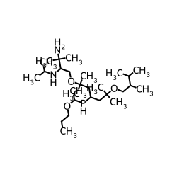 CCCOC(C)PC(CC(C)(C)OCC(C)C(C)C)CC(C)(C)OCC(NC(C)C)C(C)(C)N